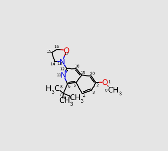 COc1ccc2c(C(C)(C)C)nc(N3CCCO3)cc2c1